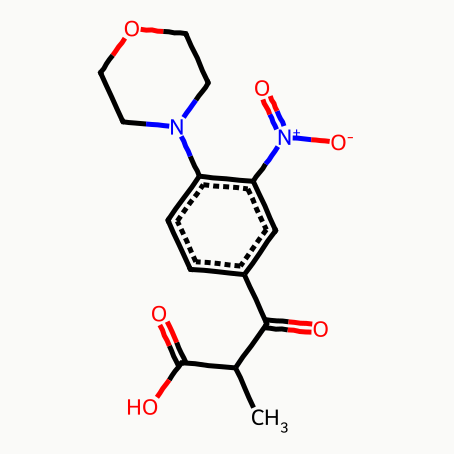 CC(C(=O)O)C(=O)c1ccc(N2CCOCC2)c([N+](=O)[O-])c1